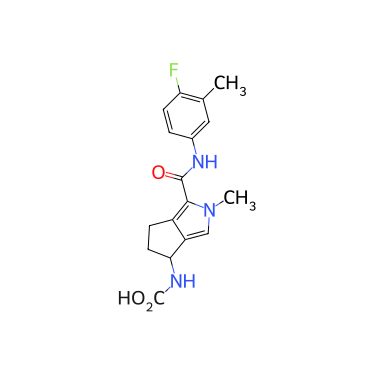 Cc1cc(NC(=O)c2c3c(cn2C)C(NC(=O)O)CC3)ccc1F